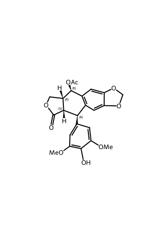 COc1cc([C@@H]2c3cc4c(cc3[C@H](OC(C)=O)[C@H]3COC(=O)[C@@H]23)OCO4)cc(OC)c1O